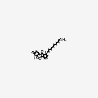 NCCCCCCCCCCOc1cccc2c1C(=O)N(C1CCC(=O)NC1=O)C2=O